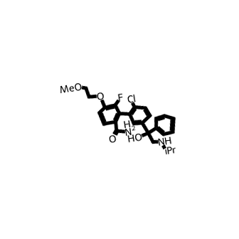 COCCOc1ccc(C(N)=O)c(-c2cc(C(O)(CNC(C)C)c3ccccc3)ccc2Cl)c1F